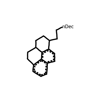 CCCCCCCCCCCCC1CCC2CCc3cccc4ccc1c2c34